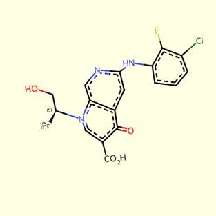 CC(C)[C@@H](CO)n1cc(C(=O)O)c(=O)c2cc(Nc3cccc(Cl)c3F)ncc21